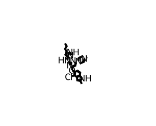 CCCc1cc(Nc2nc(Oc3ccc4[nH]c(C)cc4c3Cl)cc(N3CCN(C)CC3)n2)n[nH]1